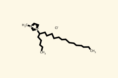 CCCCCCCCCCCCCCC(CCCCC)[n+]1ccn(C)c1.[Cl-]